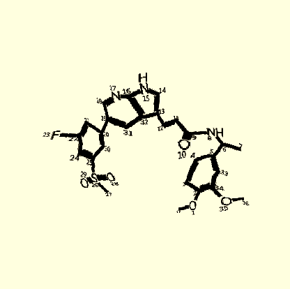 COc1ccc(C(C)NC(=O)C=Cc2c[nH]c3ncc(-c4cc(F)cc(S(C)(=O)=O)c4)cc23)cc1OC